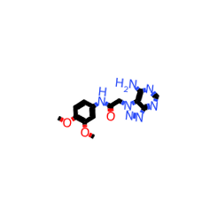 COc1ccc(NC(=O)Cn2nnc3ncnc(N)c32)cc1OC